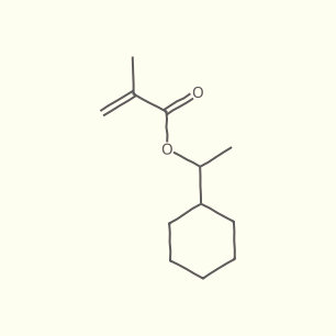 C=C(C)C(=O)OC(C)C1CCCCC1